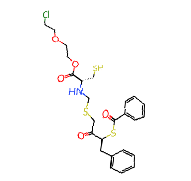 O=C(SC(Cc1ccccc1)C(=O)CSCN[C@@H](CS)C(=O)OCCOCCCl)c1ccccc1